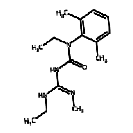 CCNC(=NC)NC(=O)N(CC)c1c(C)cccc1C